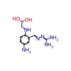 NC(N)=NN=Cc1cc(N)ccc1NCC(O)O